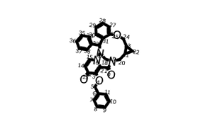 O=C1c2c(OCc3ccccc3)c(=O)ccn2N2CN1CC1CC1COc1ccccc1C2c1ccccc1